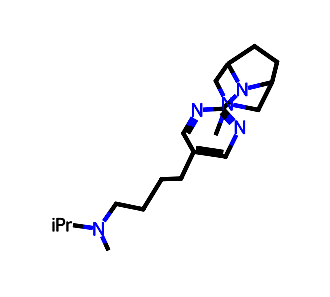 CC(C)N(C)CCCCc1cnc(N2C3CCC2CN(C)C3)nc1